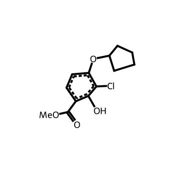 COC(=O)c1ccc(OC2CCCC2)c(Cl)c1O